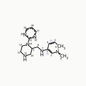 C=N/C=C(\C=C/C)NCC1CNCCN1c1ncccn1